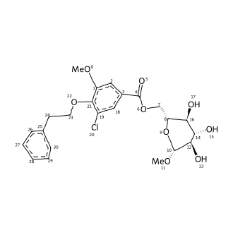 COc1cc(C(=O)OC[C@H]2O[C@@H](OC)[C@H](O)[C@@H](O)[C@@H]2O)cc(Cl)c1OCCc1ccccc1